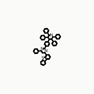 c1ccc(-c2cc(-c3cccc4c3sc3ccccc34)nc(-c3ccc(-c4c(-c5ccccc5)c(-c5ccccc5)nc(-c5ccccc5)c4-c4ccccc4)cc3)n2)cc1